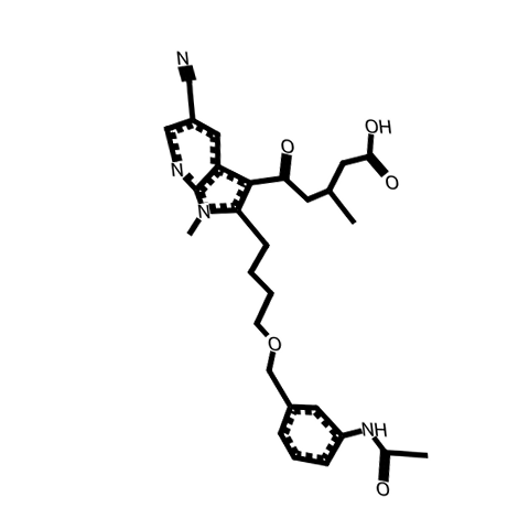 CC(=O)Nc1cccc(COCCCCc2c(C(=O)CC(C)CC(=O)O)c3cc(C#N)cnc3n2C)c1